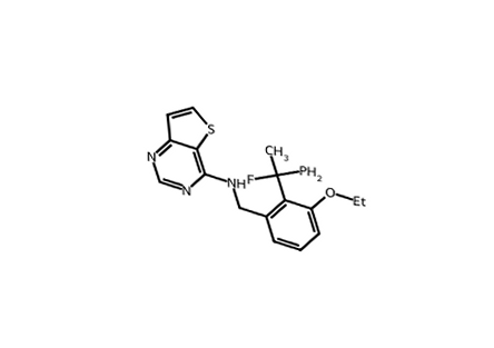 CCOc1cccc(CNc2ncnc3ccsc23)c1C(C)(F)P